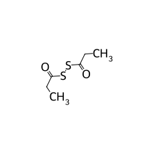 CCC(=O)SSC(=O)CC